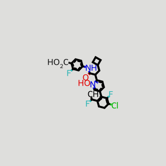 CC(F)C1=C(c2ccc(C(CC3CCC3)C(=O)Nc3ccc(C(=O)O)c(F)c3)[n+](O)c2)C(F)=C(Cl)CC1